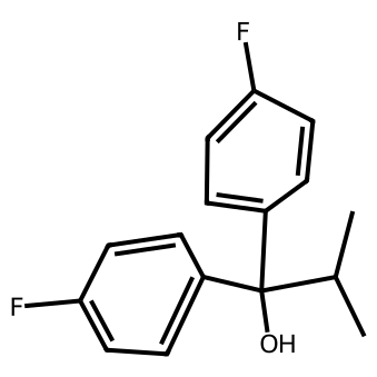 CC(C)C(O)(c1ccc(F)cc1)c1ccc(F)cc1